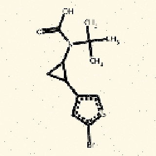 CC(C)(C)N(C(=O)O)C1CC1c1csc(Br)c1